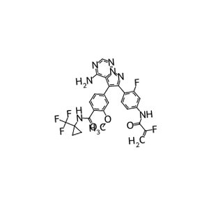 C=C(F)C(=O)Nc1ccc(-c2nn3ncnc(N)c3c2-c2ccc(C(=O)NC3(C(F)(F)F)CC3)c(OC)c2)c(F)c1